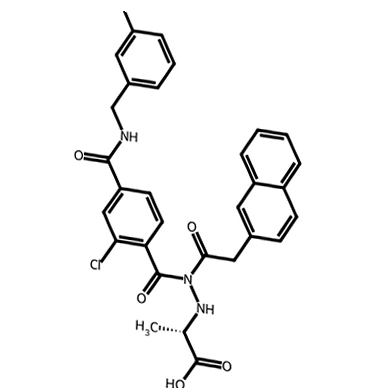 C[C@H](NN(C(=O)Cc1ccc2ccccc2c1)C(=O)c1ccc(C(=O)NCc2cccc(O)c2)cc1Cl)C(=O)O